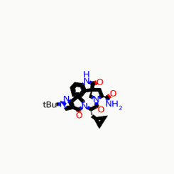 CC(C)(C)n1cc2c(n1)CCN([C@@H](CC1CC1)C(=O)N1C[C@]3(C[C@H]1C(N)=O)C(=O)Nc1ccccc13)C2=O